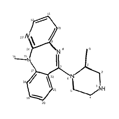 CC1CNCCN1C1=Nc2cccnc2N(C)c2ccccc21